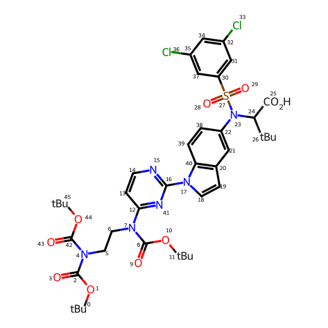 CC(C)(C)OC(=O)N(CCN(C(=O)OC(C)(C)C)c1ccnc(-n2ccc3cc(N(C(C(=O)O)C(C)(C)C)S(=O)(=O)c4cc(Cl)cc(Cl)c4)ccc32)n1)C(=O)OC(C)(C)C